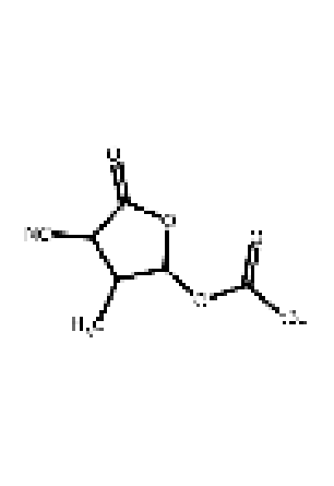 CC1C(OC(=O)C(C)(C)C)OC(=O)C1C#N